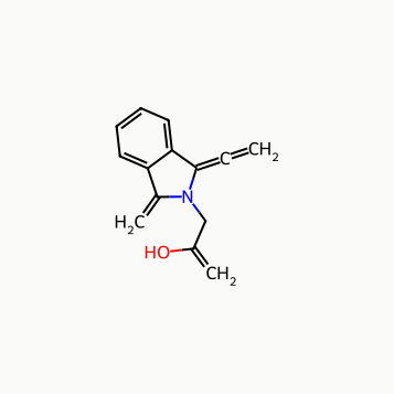 C=C=c1c2ccccc2c(=C)n1CC(=C)O